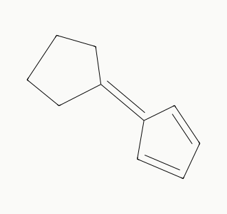 C1=CC(=C2CCCC2)C=C1